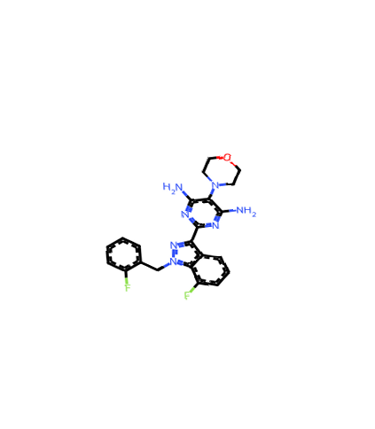 Nc1nc(-c2nn(Cc3ccccc3F)c3c(F)cccc23)nc(N)c1N1CCOCC1